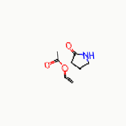 C=COC(C)=O.O=C1CCCN1